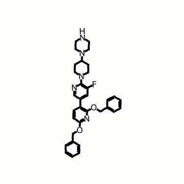 Fc1cc(-c2ccc(OCc3ccccc3)nc2OCc2ccccc2)cnc1N1CCC(N2CCNCC2)CC1